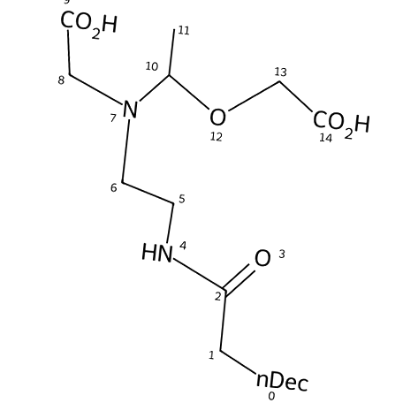 CCCCCCCCCCCC(=O)NCCN(CC(=O)O)C(C)OCC(=O)O